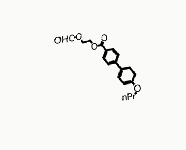 CCCOC1=CC=C(c2ccc(C(=O)OCCOC=O)cc2)CC1